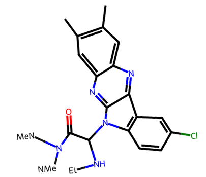 CCNC(C(=O)N(NC)NC)n1c2ccc(Cl)cc2c2nc3cc(C)c(C)cc3nc21